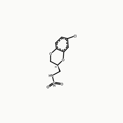 O=[SH](=O)NC[C@H]1COc2ccc(Cl)cc2O1